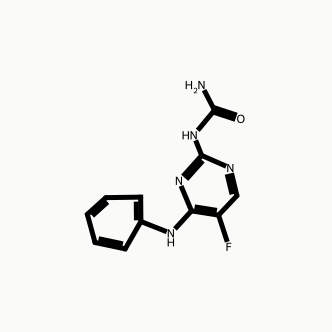 NC(=O)Nc1ncc(F)c(Nc2ccccc2)n1